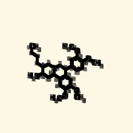 CCCCC1CN2CC(c3ccc(OC)c(OC)c3)c3cc(OC)c(OC)cc3C2CC1N